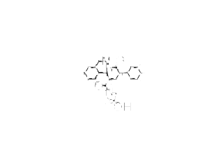 O=C(c1cc(-c2ccccc2)c(=O)n2ncc3ccccc3c12)N1CC(O)C1